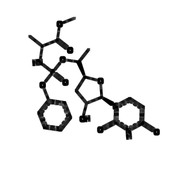 COC(=O)C(C)NP(=O)(Oc1ccccc1)OC(C)[C@@H]1CC(O)[C@H](n2ccc(=O)[nH]c2=O)O1